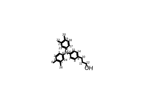 Cc1ccc(N(c2ccc(CCCO)cc2)c2ccc(C)c(C)c2)cc1C